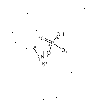 CC#N.O=P([O-])(O)O.[K+]